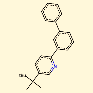 CC(C)(C)C(C)(C)c1ccc(-c2cccc(-c3ccccc3)c2)nc1